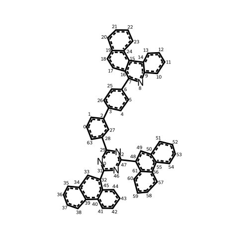 c1cc(-c2ccc(-c3nc4ccccc4c4c3ccc3ccccc34)cc2)cc(-c2nc(-c3cc4ccccc4c4ccccc34)nc(-c3cc4ccccc4c4ccccc34)n2)c1